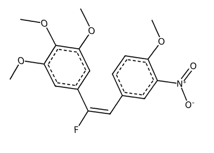 COc1ccc(/C=C(/F)c2cc(OC)c(OC)c(OC)c2)cc1[N+](=O)[O-]